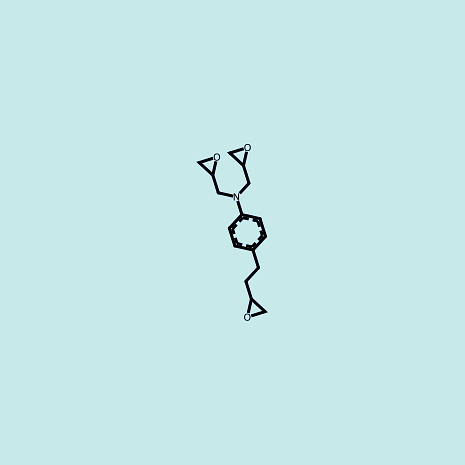 c1cc(N(CC2CO2)CC2CO2)ccc1CCC1CO1